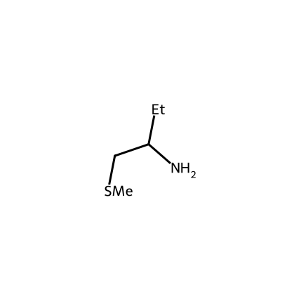 CCC(N)CSC